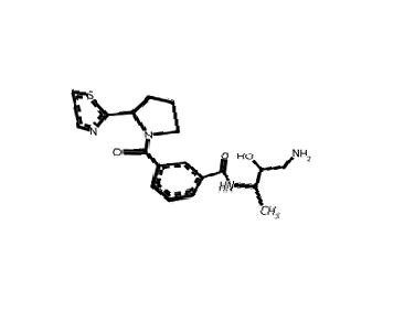 CC(NC(=O)c1cccc(C(=O)N2CCCC2c2nccs2)c1)C(O)CN